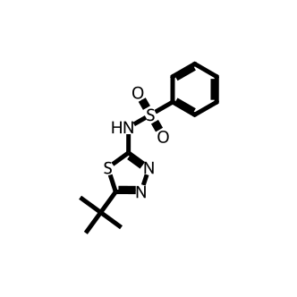 CC(C)(C)c1nnc(NS(=O)(=O)c2ccccc2)s1